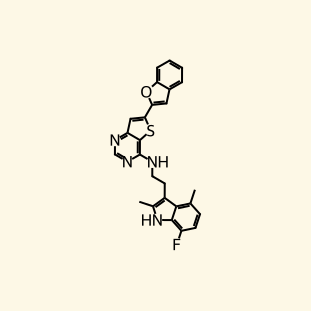 Cc1[nH]c2c(F)ccc(C)c2c1CCNc1ncnc2cc(-c3cc4ccccc4o3)sc12